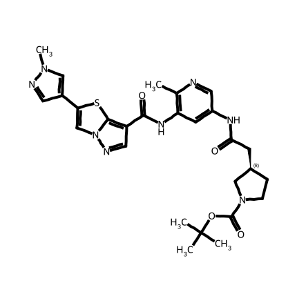 Cc1ncc(NC(=O)C[C@H]2CCN(C(=O)OC(C)(C)C)C2)cc1NC(=O)c1cnn2cc(-c3cnn(C)c3)sc12